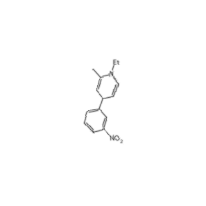 CCN1C=CC(c2cccc([N+](=O)[O-])c2)C=C1C